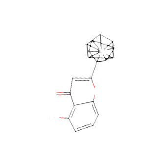 O=c1cc([C]23[CH]4[CH]5[CH]6[CH]2[Fe]56432789[CH]3[CH]2[CH]7[CH]8[CH]39)oc2cccc(O)c12